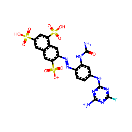 NC(=O)Nc1cc(Nc2nc(N)nc(F)n2)ccc1N=Nc1cc2c(S(=O)(=O)O)cc(S(=O)(=O)O)cc2cc1S(=O)(=O)O